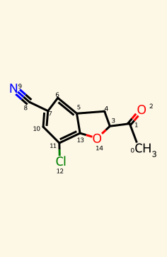 CC(=O)C1Cc2cc(C#N)cc(Cl)c2O1